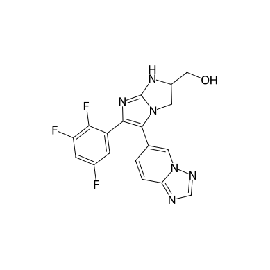 OCC1Cn2c(nc(-c3cc(F)cc(F)c3F)c2-c2ccc3ncnn3c2)N1